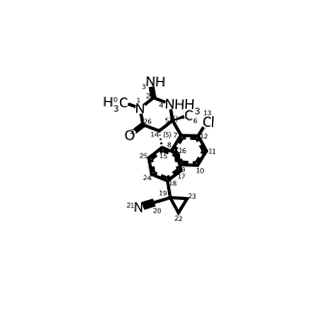 CN1C(=N)N[C@](C)(c2ccccc2Cl)[C@H](c2ccc(C3(C#N)CC3)cc2)C1=O